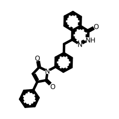 O=C1C=C(c2ccccc2)C(=O)N1c1cccc(Cc2n[nH]c(=O)c3ccccc23)c1